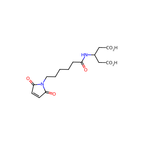 O=C(O)CC(CC(=O)O)NC(=O)CCCCCN1C(=O)C=CC1=O